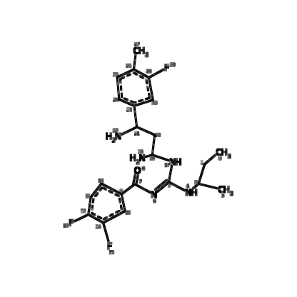 CCC(C)N/C(=N/C(=O)c1ccc(F)c(F)c1)NC(N)CC(N)c1ccc(C)c(F)c1